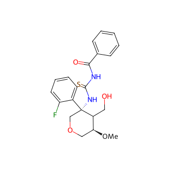 CO[C@H]1COC[C@@](NC(=S)NC(=O)c2ccccc2)(c2ccccc2F)C1CO